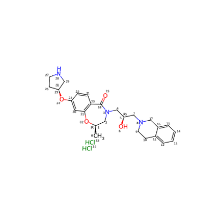 C[C@@H]1CN(C[C@H](O)CN2CCc3ccccc3C2)C(=O)c2ccc(O[C@H]3CCNC3)cc2O1.Cl.Cl